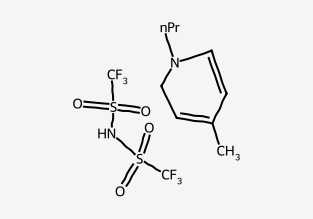 CCCN1C=CC(C)=CC1.O=S(=O)(NS(=O)(=O)C(F)(F)F)C(F)(F)F